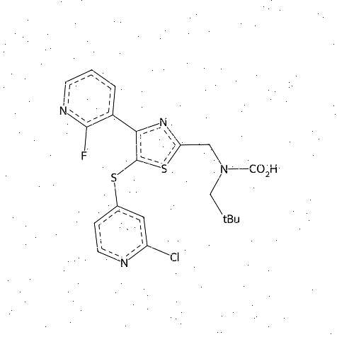 CC(C)(C)CN(Cc1nc(-c2cccnc2F)c(Sc2ccnc(Cl)c2)s1)C(=O)O